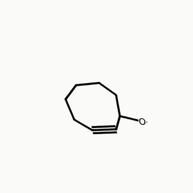 [O]C1C#CCCCCC1